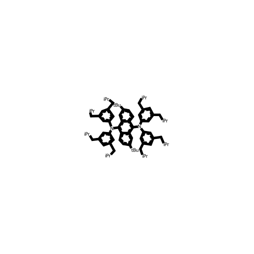 CC(C)Cc1cc(CC(C)C)cc(N(c2cc(CC(C)C)cc(CC(C)C)c2)c2c3ccc(C(C)(C)C)cc3c(N(c3cc(CC(C)C)cc(CC(C)C)c3)c3cc(CC(C)C)cc(CC(C)C)c3)c3ccc(C(C)(C)C)cc23)c1